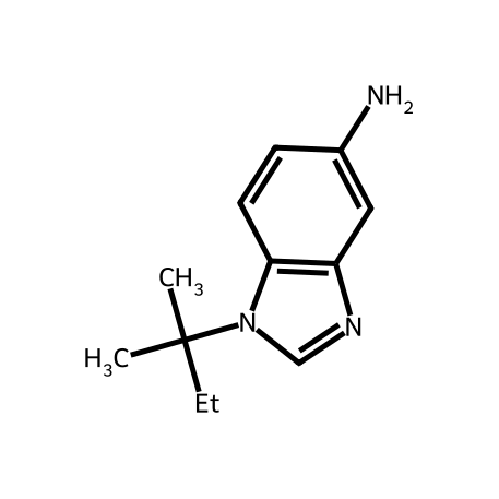 CCC(C)(C)n1cnc2cc(N)ccc21